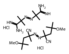 CC(C)(/N=N/C(C)(C)C(=N)N)C(=N)N.COC(C)(C)CC(C)(C#N)/N=N/C(C)(C#N)CC(C)(C)OC.Cl.Cl